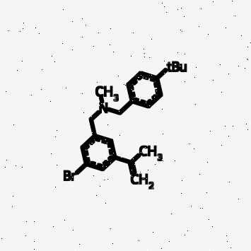 C=C(C)c1cc(Br)cc(CN(C)Cc2ccc(C(C)(C)C)cc2)c1